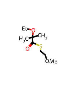 CCOC(C)(C)C(=O)SCCOC